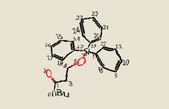 CCCCC(=O)CCO[Si](c1ccccc1)(c1ccccc1)c1ccccc1